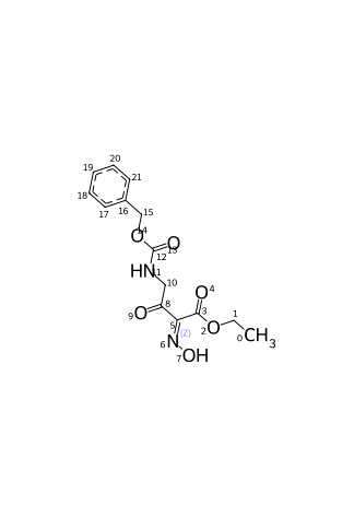 CCOC(=O)/C(=N\O)C(=O)CNC(=O)OCc1ccccc1